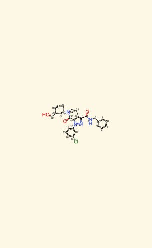 O=C(NCc1ccccc1)c1nn(-c2cccc(Cl)c2)c2c1CCN(c1cccc(CO)c1)C2=O